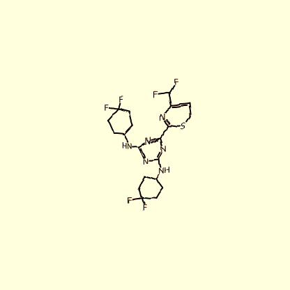 FC(F)C1=CCSC(c2nc(NC3CCC(F)(F)CC3)nc(NC3CCC(F)(F)CC3)n2)=N1